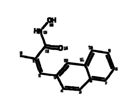 CC(=Cc1ccc2ccccc2c1)C(=O)NO